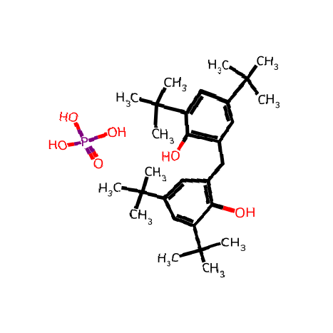 CC(C)(C)c1cc(Cc2cc(C(C)(C)C)cc(C(C)(C)C)c2O)c(O)c(C(C)(C)C)c1.O=P(O)(O)O